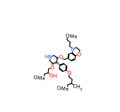 COCCCN1CCOc2ccc(CO[C@H]3CNC[C@@H](OCC(O)COC)[C@@H]3c3ccc(OCCC(C)COC)cc3)cc21